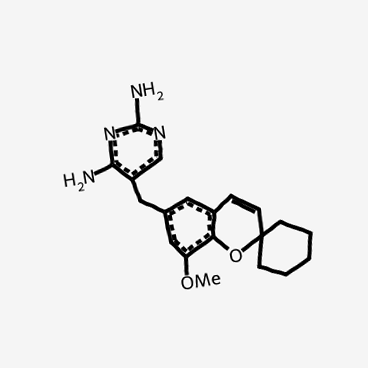 COc1cc(Cc2cnc(N)nc2N)cc2c1OC1(C=C2)CCCCC1